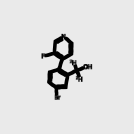 [2H]C([2H])(O)c1cc(Br)ccc1-c1ccncc1F